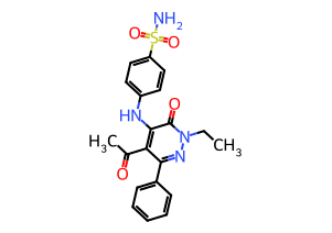 CCn1nc(-c2ccccc2)c(C(C)=O)c(Nc2ccc(S(N)(=O)=O)cc2)c1=O